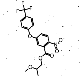 COC(C)COC(=O)c1cc(Oc2ccc(C(F)(F)F)cc2)ccc1[N+](=O)[O-]